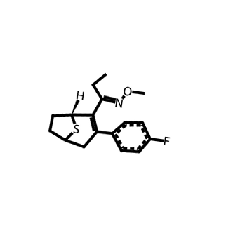 CCC(=NOC)C1=C(c2ccc(F)cc2)CC2CC[C@H]1S2